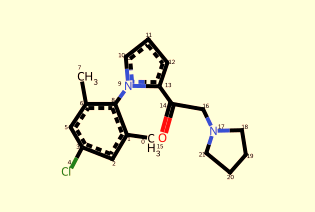 Cc1cc(Cl)cc(C)c1-n1cccc1C(=O)CN1CCCC1